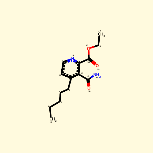 CCCCCc1ccnc(C(=O)OCC)c1C(N)=O